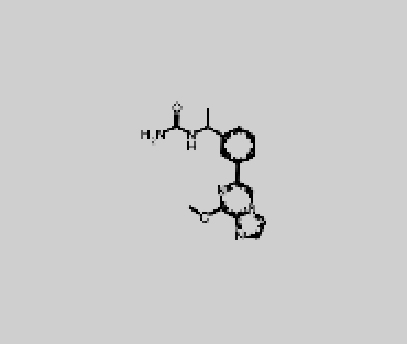 COc1nc(-c2cccc(C(C)NC(N)=O)c2)cn2ccnc12